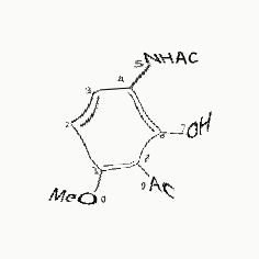 COc1ccc(NC(C)=O)c(O)c1C(C)=O